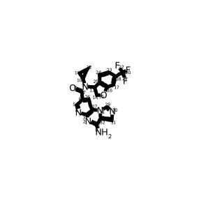 Nc1nc2ncc(C(=O)N(C3CC3)C3COc4cc(C(F)(F)F)ccc43)cc2n2cncc12